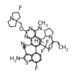 C=CC(=O)N1CC[C@@H](N(C)c2nc(OC[C@@]34CCCN3C[C@H](F)C4)nc3c(F)c(-c4ccc(F)c5sc(N)c(C#N)c45)c(C(F)(F)F)cc23)[C@@H]1C